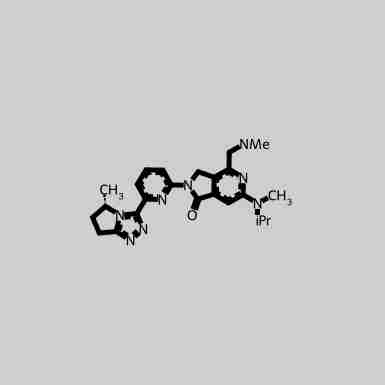 CNCc1nc(N(C)C(C)C)cc2c1CN(c1cccc(-c3nnc4n3[C@@H](C)CC4)n1)C2=O